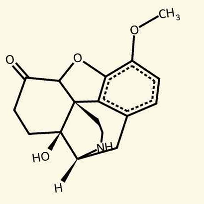 COc1ccc2c3c1OC1C(=O)CC[C@@]4(O)[C@@H](C2)NCC[C@]314